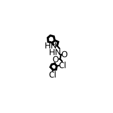 CC(Oc1ccc(Cl)cc1Cl)C(=O)NCc1cc2ccccc2[nH]1